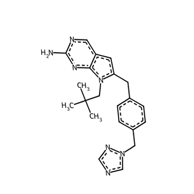 CC(C)(C)Cn1c(Cc2ccc(Cn3cncn3)cc2)cc2cnc(N)nc21